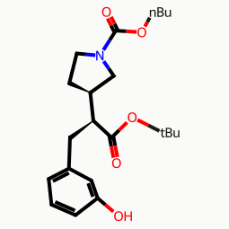 CCCCOC(=O)N1CC[C@H]([C@H](Cc2cccc(O)c2)C(=O)OC(C)(C)C)C1